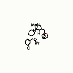 CNCC(CC12CCC(CC1)CC2)NC(=O)N1CCC[C@@H](C(OC(C)C)c2cccc(Cl)c2)C1